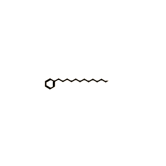 [CH2]CCCCCCCCCCCCc1ccccc1